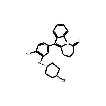 N#Cc1ccc(-c2c3n(c4ccccc24)C(=O)CCC3)cc1N[C@H]1CC[C@H](O)CC1